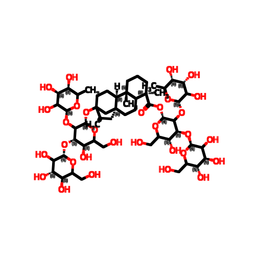 C=C1C[C@@]23CCC4[C@](C)(C(=O)O[C@H]5OC(CO)[C@@H](O)[C@H](O[C@@H]6OC(CO)[C@@H](O)[C@H](O)C6O)C5O[C@@H]5OC(C)[C@H](O)[C@H](O)C5O)CCC[C@@]4(C)[C@@H]2CCC1(O[C@@H]1OC(CO)[C@@H](O)[C@H](O[C@@H]2OC(CO)[C@@H](O)[C@H](O)C2O)C1O[C@@H]1OC(C)[C@H](O)[C@H](O)C1O)C3